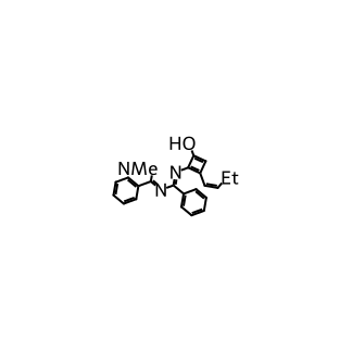 CC/C=C\C1=C(N=C(/N=C(\NC)c2ccccc2)c2ccccc2)C(O)=C1